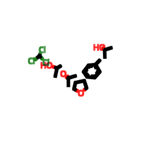 C1CCOC1.CC(C)=O.CC(C)O.CC(C)O.Cc1ccccc1.ClC(Cl)Cl